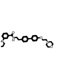 O=C(NCCc1ccc(-c2ccc(OCCN3CCOCC3)cc2)cc1)c1cccc(N2CCCCC2)c1